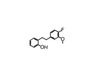 COc1cc(CCc2ccccc2O)ccc1F